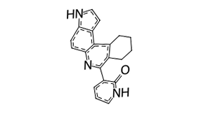 O=c1[nH]cccc1-c1nc2ccc3[nH]ccc3c2c2c1CCCC2